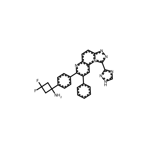 NC1(c2ccc(-c3nc4ccc5nnc(-c6nc[nH]n6)n5c4cc3-c3ccccc3)cc2)CC(F)(F)C1